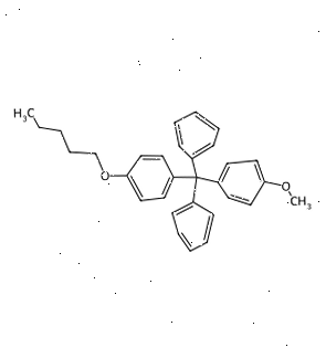 CCCCCOc1ccc(C(c2ccccc2)(c2ccccc2)c2ccc(OC)cc2)cc1